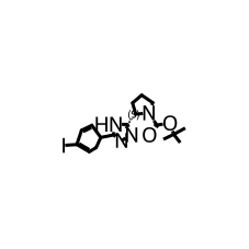 CC(C)(C)OC(=O)N1CCC[C@H]1c1nnc(C2C=CC(I)=CC2)[nH]1